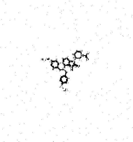 COc1ccc(CN(Cc2ccc(OC)cc2)c2nccc3c2[nH]c(=O)n3C2CCCN(C(=O)O)C2)cc1